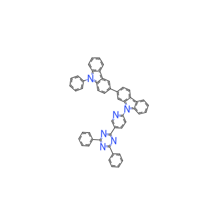 c1ccc(-c2nc(-c3ccccc3)nc(-c3ccc(-n4c5ccccc5c5ccc(-c6ccc7c(c6)c6ccccc6n7-c6ccccc6)cc54)nc3)n2)cc1